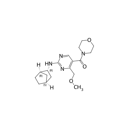 COCc1nc(N[C@@H]2C[C@H]3CC[C@@H]2C3)ncc1C(=O)N1CCOCC1